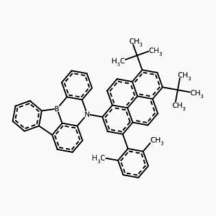 Cc1cccc(C)c1-c1cc(N2c3ccccc3B3c4ccccc4-c4cccc2c43)c2ccc3c(C(C)(C)C)cc(C(C)(C)C)c4ccc1c2c43